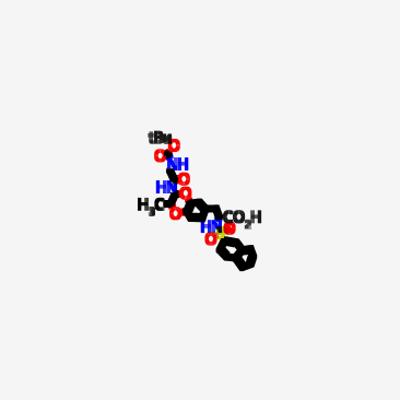 CC1Oc2ccc(C[C@H](NS(=O)(=O)c3ccc4ccccc4c3)C(=O)O)cc2OC1NC(=O)CNC(=O)OC(C)(C)C